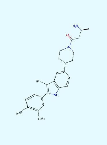 COc1ccc(-c2[nH]c3ccc(C4CCN(C(=O)C[C@H](C)N)CC4)cc3c2C(C)C)cc1OC